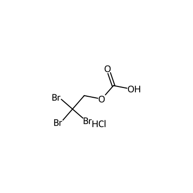 Cl.O=C(O)OCC(Br)(Br)Br